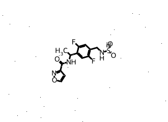 CC(NC(=O)c1ccon1)c1cc(F)c(CN[SH](=O)=O)cc1F